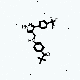 CC(C)(C)C(=O)c1ccc(NCc2c[nH]nc2-c2ccc(C(F)(F)F)cc2)cc1